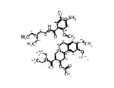 CCN(CC)C(=O)C1CN2CCc3cc(OC)c(OC)cc3C2CC1OC(C)=O.CCN(CC)CCNC(=O)c1cc(Cl)c(N)cc1OC